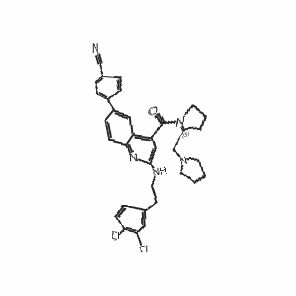 N#Cc1ccc(-c2ccc3nc(NCCc4ccc(Cl)c(Cl)c4)cc(C(=O)N4CCC[C@H]4CN4CCCC4)c3c2)cc1